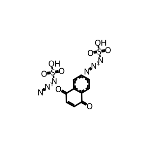 O=C1C=CC(=O)c2ccccc21.[N-]=[N+]=NS(=O)(=O)O.[N-]=[N+]=NS(=O)(=O)O